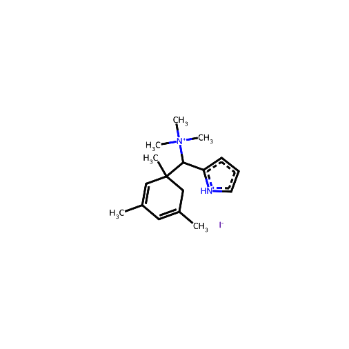 CC1=CC(C)(C(c2ccc[nH]2)[N+](C)(C)C)CC(C)=C1.[I-]